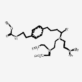 CCCN(CCC)CCN(CCN(CC(=O)OCC)CC(=O)OCC)C(CC)CCCc1ccc(CCNC(=O)OC(C)(C)C)cc1